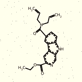 C=CCN(CC=C)C(=O)c1ccc2[nH]c3cnc(C(=O)OCC)cc3c2c1